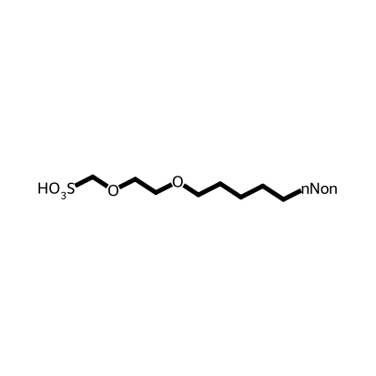 CCCCCCCCCCCCCCOCCOCS(=O)(=O)O